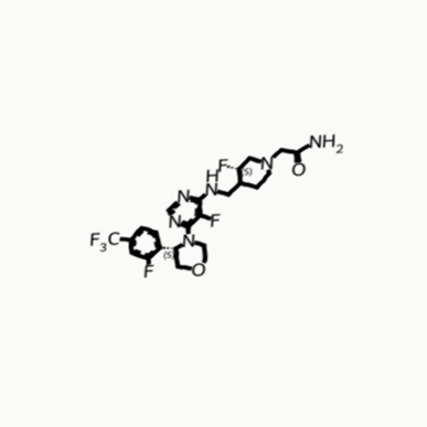 NC(=O)CN1CCC(CNc2ncnc(N3CCOC[C@@H]3c3ccc(C(F)(F)F)cc3F)c2F)[C@H](F)C1